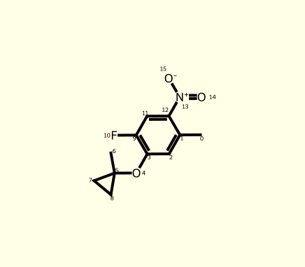 Cc1cc(OC2(C)CC2)c(F)cc1[N+](=O)[O-]